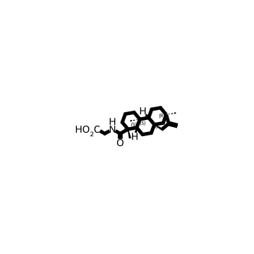 C=C1C[C@@]23CC[C@H]4[C@@](C)(CCC[C@@]4(C)C(=O)NCC(=O)O)[C@@H]2CC[C@]1(C)C3